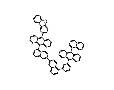 c1cc(-c2cccc3cc(-c4ccc5c(-c6c7ccccc7c(-c7ccc8oc9ccccc9c8c7)c7ccccc67)cccc5c4)ccc23)cc(-c2c3ccccc3c(-c3cccc4ccccc34)c3ccccc23)c1